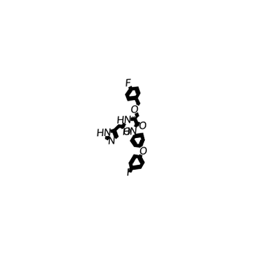 O=C(Cc1cnc[nH]1)N[C@@H](COCc1ccc(F)cc1)C(=O)Nc1ccc(Oc2ccc(F)cc2)cc1